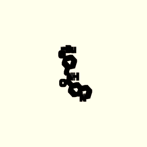 CCCCOc1cccc(CNC(=O)c2ccc3ncccc3c2)c1